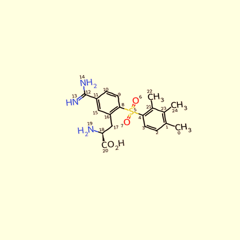 Cc1ccc(S(=O)(=O)c2ccc(C(=N)N)cc2C[C@H](N)C(=O)O)c(C)c1C